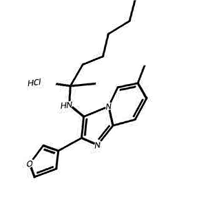 CCCCCC(C)(C)Nc1c(-c2ccoc2)nc2ccc(C)cn12.Cl